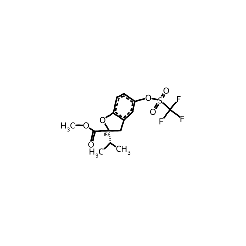 COC(=O)[C@]1(C(C)C)Cc2cc(OS(=O)(=O)C(F)(F)F)ccc2O1